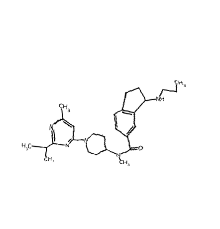 CCCNC1CCc2ccc(C(=O)N(C)C3CCN(c4cc(C)nc(C(C)C)n4)CC3)cc21